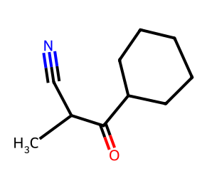 CC(C#N)C(=O)C1CCCCC1